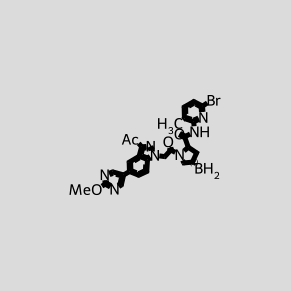 B[C@@H]1CC(C(=O)Nc2nc(Br)ccc2C)N(C(=O)Cn2nc(C(C)=O)c3cc(-c4cnc(OC)nc4)ccc32)C1